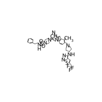 Cc1c(CN2CCC(Nc3ncnc4sc(CC(F)(F)F)cc34)CC2)ccc2c1cc(C#N)n2C[C@H](C)N1CCN(S(=O)(=O)NCCc2ccccc2)CC1